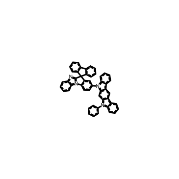 c1ccc(-n2c3ccccc3c3cc4c5ccccc5n(-c5ccc6c(c5)C5(c7ccccc7-c7ccccc75)c5nc7ccccc7n5-6)c4cc32)cc1